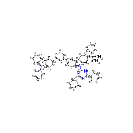 CC1(C)c2ccccc2-c2cc3c4cc(-c5cccc(-c6ccc7c(c6)c6ccccc6n7-c6ccccc6)c5)ccc4n(-c4nc(-c5ccccc5)nc(-c5ccccc5)n4)c3cc21